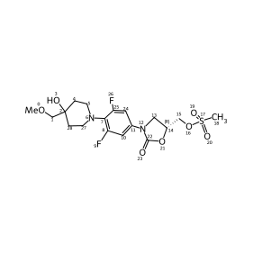 COCC1(O)CCN(c2c(F)cc(N3C[C@H](COS(C)(=O)=O)OC3=O)cc2F)CC1